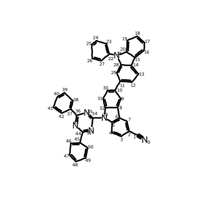 N#Cc1ccc2c(c1)c1cc(-c3ccc4c5ccccc5n(-c5ccccc5)c4c3)ccc1n2-c1nc(-c2ccccc2)nc(-c2ccccc2)n1